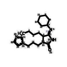 CCCCC1/C(=N\C2CCCCC2)NC(=O)N1CCCn1ccnc1